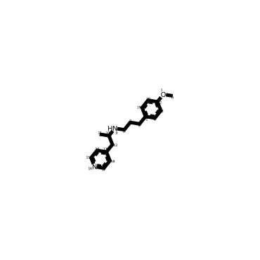 COc1ccc(CCCNC(C)Cc2ccncc2)cc1